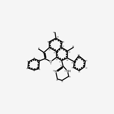 CC1=C(c2ccccc2)Oc2c(C3=NCCCN3)c(-c3ccccc3)c(C)c3cc(C)cc1c23